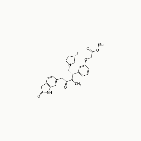 CN(C(=O)Cc1ccc2c(c1)NC(=O)C2)[C@H](CN1CC[C@H](F)C1)c1cccc(OCC(=O)OC(C)(C)C)c1